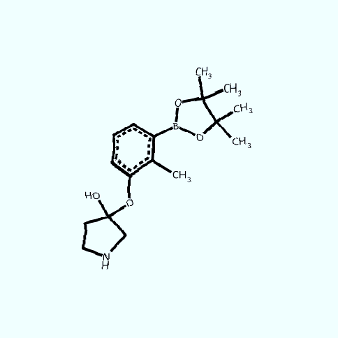 Cc1c(OC2(O)CCNC2)cccc1B1OC(C)(C)C(C)(C)O1